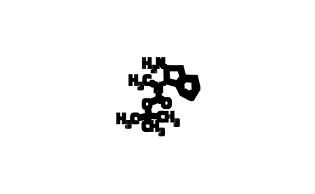 CN(C(=O)OC(C)(C)C)[C@H]1c2ccccc2C[C@@H]1N